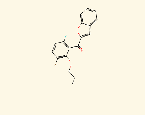 CCCOc1c(Br)ccc(F)c1C(=O)c1cc2ccccc2o1